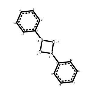 c1ccc(B2OB(c3ccccc3)O2)cc1